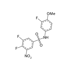 COc1ccc(NS(=O)(=O)c2cc(F)c(F)c([N+](=O)[O-])c2)cc1F